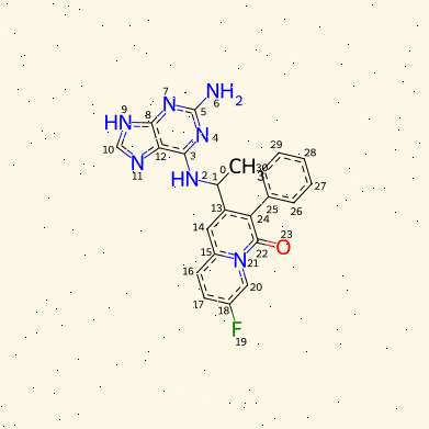 CC(Nc1nc(N)nc2[nH]cnc12)c1cc2ccc(F)cn2c(=O)c1-c1ccccc1